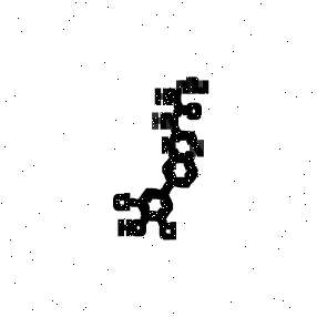 CCCCNC(=O)Nc1cnc2ccc(-c3cc(Cl)c(O)c(Cl)c3)cc2n1